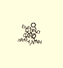 CCCOC(=O)N[C@@H](C(=O)N1C[C@H](C(=N)N)C[C@H]1C(=O)NCC1CCCCC1)C(C)(C)SC(CC)CC